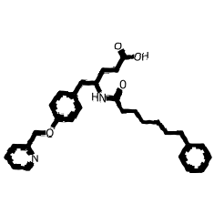 O=C(O)CCC(Cc1ccc(OCc2ccccn2)cc1)NC(=O)CCCCCCc1ccccc1